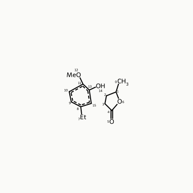 CC1CCC(=O)O1.CCc1ccc(OC)c(O)c1